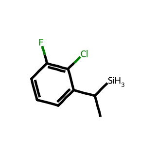 CC([SiH3])c1cccc(F)c1Cl